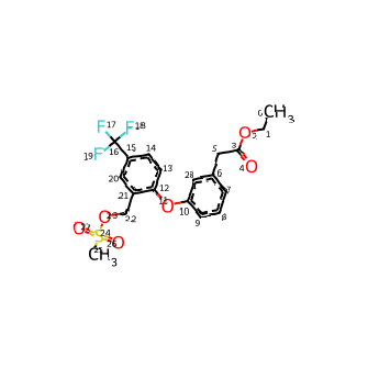 CCOC(=O)Cc1cccc(Oc2ccc(C(F)(F)F)cc2COS(C)(=O)=O)c1